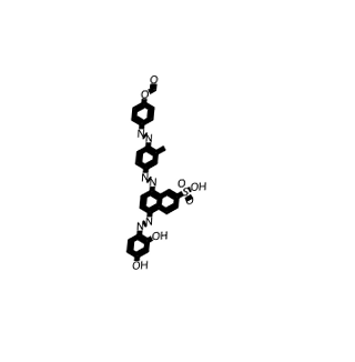 Cc1cc(N=Nc2ccc(N=Nc3ccc(O)cc3O)c3ccc(S(=O)(=O)O)cc23)ccc1N=Nc1ccc(OC=O)cc1